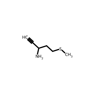 C#CC(N)CCSC